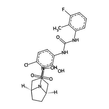 Cc1c(F)cccc1NC(=O)Nc1ccc(Cl)c(S(=O)(=O)N2[C@@H]3CC[C@H]2C/C(=N/O)C3)c1O